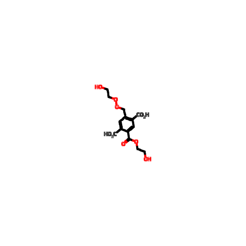 O=C(O)c1cc(C(=O)OCCO)c(C(=O)O)cc1COOCCO